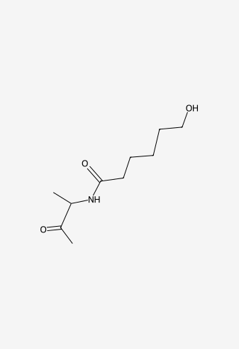 CC(=O)C(C)NC(=O)CCCCCO